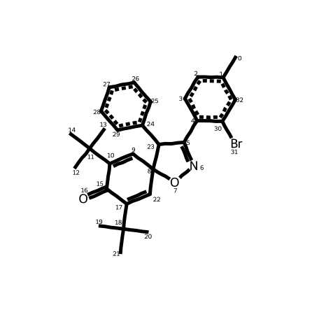 Cc1ccc(C2=NOC3(C=C(C(C)(C)C)C(=O)C(C(C)(C)C)=C3)C2c2ccccc2)c(Br)c1